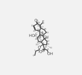 CCC(=O)O[C@]1(C(=O)CO)[C@@H](C)C[C@H]2[C@@H]3CCC4=C(F)C(=O)C=C[C@]4(C)[C@@]3(F)[C@@H](O)C[C@@]21C